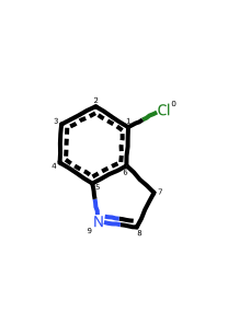 Clc1cccc2c1CC=N2